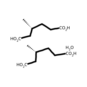 C[C@H](CCC(=O)O)CC(=O)O.C[C@H](CCC(=O)O)CC(=O)O.O